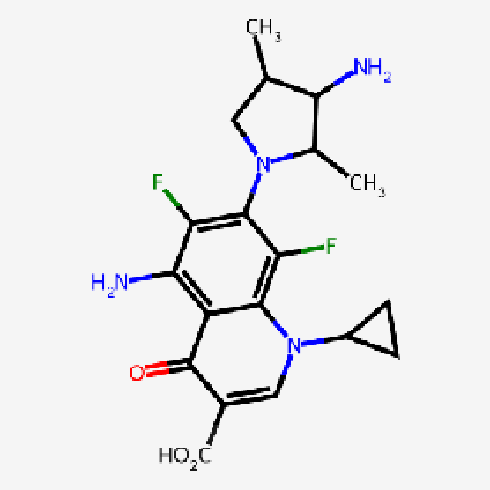 CC1CN(c2c(F)c(N)c3c(=O)c(C(=O)O)cn(C4CC4)c3c2F)C(C)C1N